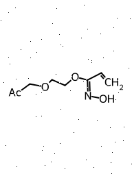 C=CC(=NO)OCCOCC(C)=O